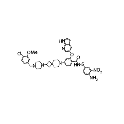 COc1cc(CN2CCN(C3CC4(CCN(c5ccc(C(=O)NSc6ccc(N)c([N+](=O)[O-])c6)c(Oc6cnc7[nH]ccc7c6)c5)CC4)C3)CC2)ccc1Cl